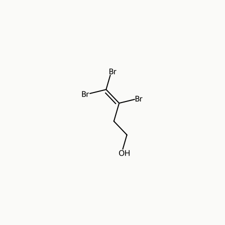 OCCC(Br)=C(Br)Br